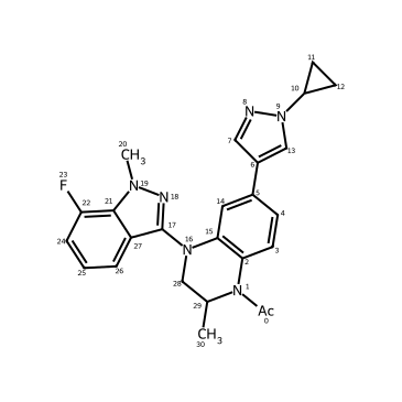 CC(=O)N1c2ccc(-c3cnn(C4CC4)c3)cc2N(c2nn(C)c3c(F)cccc23)CC1C